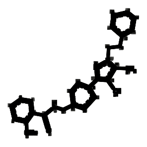 COc1ccccc1C(=O)NCc1ccc(-c2nn(CCc3cccnc3)c(N)c2C#N)cc1